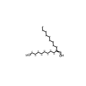 CCCCCCCCC/C(CCCCCCCCO)=N/O